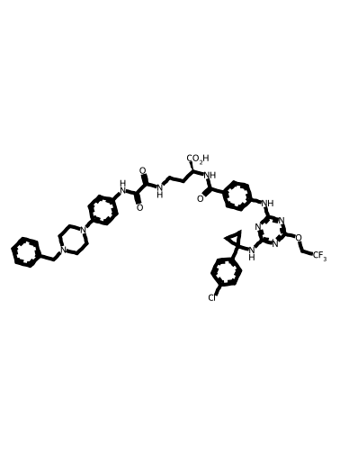 O=C(NCC[C@H](NC(=O)c1ccc(Nc2nc(NC3(c4ccc(Cl)cc4)CC3)nc(OCC(F)(F)F)n2)cc1)C(=O)O)C(=O)Nc1ccc(N2CCN(Cc3ccccc3)CC2)cc1